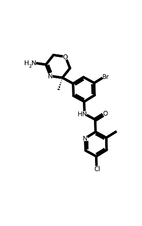 Cc1cc(Cl)cnc1C(=O)Nc1cc(Br)cc([C@]2(C)COCC(N)=N2)c1